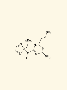 CCCCCCCCCCCC1(C(=O)c2nc(N)nc(CCN)n2)N=CC=N1